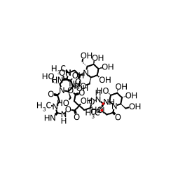 CN(CC(=O)N1[C@H](CO)[C@H](O)[C@H](O)[C@H](O)[C@H]1CO)C(=N)NOC(=O)CC(O)(CC(=O)ONC(=N)N(C)CC(=O)N1[C@H](CO)[C@H](O)[C@H](O)[C@H](O)[C@H]1CO)C(=O)ONC(=N)N(C)CC(=O)N1[C@H](CO)[C@H](O)[C@H](O)[C@H](O)[C@H]1CO